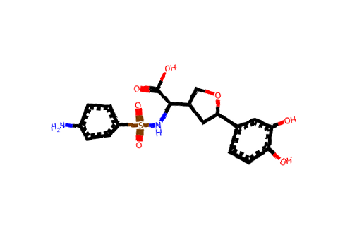 Nc1ccc(S(=O)(=O)NC(C(=O)O)C2COC(c3ccc(O)c(O)c3)C2)cc1